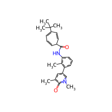 Cc1c(NC(=O)C2C=CC=C(C(C)(C)C)C=C2)cccc1-c1cc(C)c(=O)n(C)c1